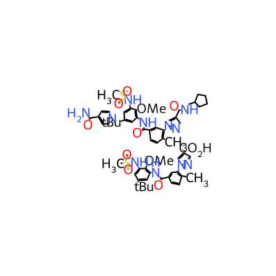 COc1c(NC(=O)c2ccc(C)c(-n3cc(C(=O)NCC4CCCC4)cn3)c2)cc(C(C)(C)C)cc1NS(C)(=O)=O.COc1c(NC(=O)c2ccc(C)c(-n3cc(C(=O)O)cn3)c2)cc(C(C)(C)C)cc1NS(C)(=O)=O.NC(=O)c1ccncc1